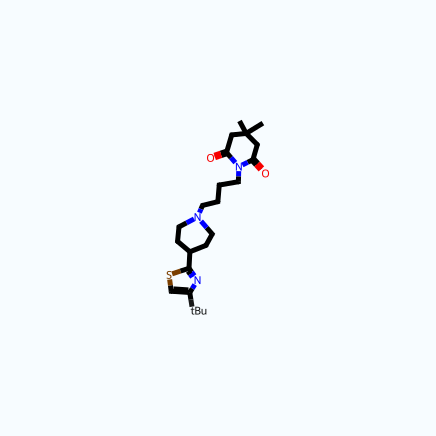 CC1(C)CC(=O)N(CCCCN2CCC(c3nc(C(C)(C)C)cs3)CC2)C(=O)C1